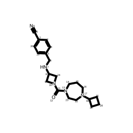 N#Cc1ccc(CNC2CN(C(=O)N3CCCN(C4CCC4)CC3)C2)cc1